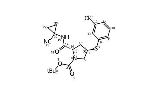 CC(C)(C)OC(=O)N1C[C@H](Sc2cccc(Cl)c2)C[C@H]1C(=O)NC1(C#N)CC1